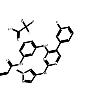 C=CC(=O)Nc1cccc(Nc2nc(Nc3cnn(C)c3)ncc2-c2cccc(F)c2)c1.O=C(O)C(F)(F)F